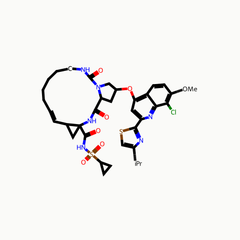 COc1ccc2c(OC3CC4C(=O)NC5(C(=O)NS(=O)(=O)C6CC6)CC5/C=C/CCCCCNC(=O)N4C3)cc(-c3nc(C(C)C)cs3)nc2c1Cl